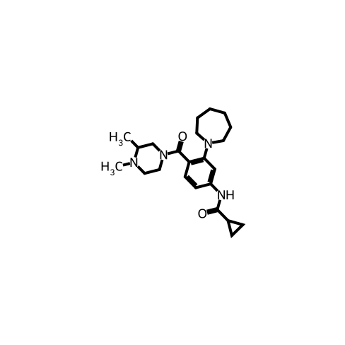 CC1CN(C(=O)c2ccc(NC(=O)C3CC3)cc2N2CCCCCC2)CCN1C